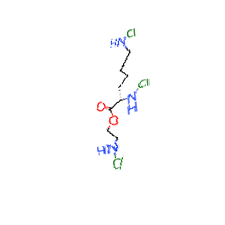 O=C(OCCNCl)[C@H](CCCCNCl)NCl